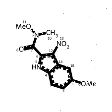 COc1ccc2[nH]c(C(=O)N(C)OC)c([N+](=O)[O-])c2c1